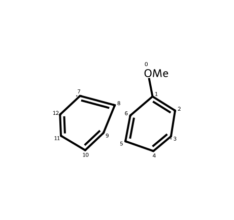 COc1c[c]ccc1.[c]1ccccc1